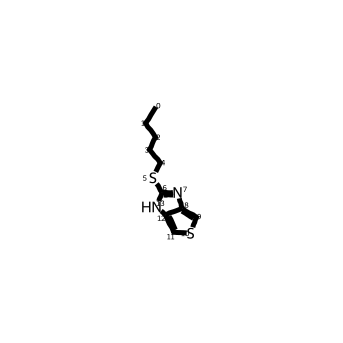 CCCCCSc1nc2cscc2[nH]1